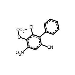 N#Cc1cc([N+](=O)[O-])c(OC(=O)O)c(Cl)c1-c1ccccc1